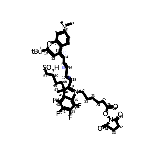 CN(C)c1ccc2c(c1)OC(C(C)(C)C)=C\C2=C/C=C/C=C/C1=[N+](CCCCCC(=O)ON2C(=O)CCC2=O)c2c(F)c(F)c(F)c(F)c2C1(C)CCCCS(=O)(=O)O